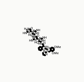 COc1ccc(CN(c2ncccn2)C(O)C(=O)NC(C(=O)NC(NC(=N)N)C(=O)NC(NC(=N)N)C(=O)NC(NC(=N)N)C(=O)NC(NC(=N)N)C(N)=O)c2ccccc2)c(OC)c1